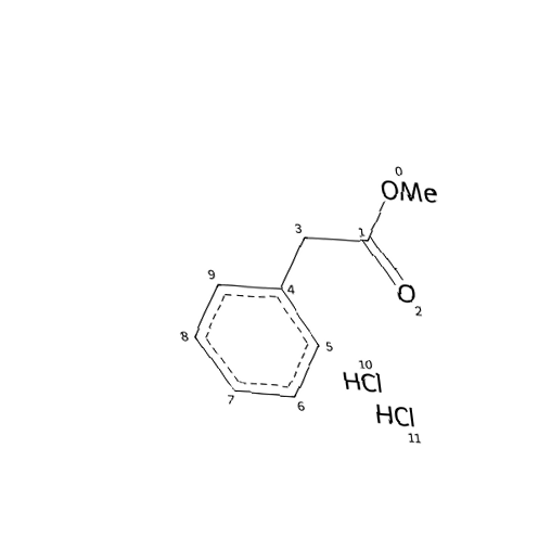 COC(=O)Cc1ccccc1.Cl.Cl